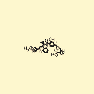 Cc1cc(COCc2ncsc2C(=O)O)ccc1C(=O)NC1(c2cc(-c3cnn(C)c3)nc3ccccc23)CC1